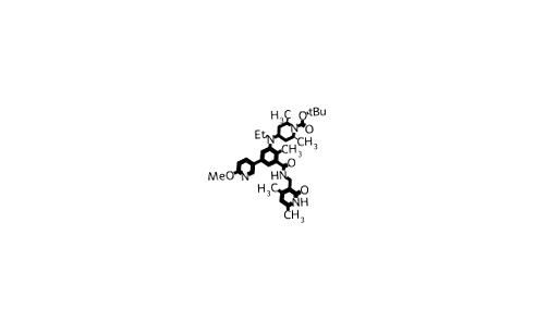 CCN(c1cc(-c2ccc(OC)nc2)cc(C(=O)NCc2c(C)cc(C)[nH]c2=O)c1C)C1C[C@@H](C)N(C(=O)OC(C)(C)C)[C@H](C)C1